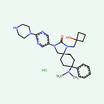 CN(C)[C@]1(c2ccccc2)CC[C@@]2(CC1)CN(c1cnc(N3CCNCC3)nc1)C(=O)N2CC1(O)CCC1.Cl